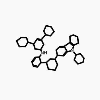 C1=CC(NC2CC(C3CCCCC3)=CC(C3CCCCC3)C2)C(C2CCCC(C3C=c4c(c5c(n4C4CCCCC4)CCCC5)=CC3)C2)C=C1